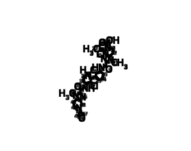 Cc1c(NC(=O)c2nc3c(n2C)CCN(C(=O)O)C3C(C)(C)C)cccc1-c1nccc(NC(=O)c2nc3c(n2C)CCN(C2COC2)C3)c1Cl